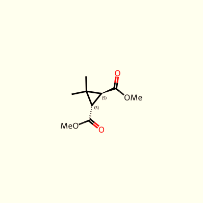 COC(=O)[C@H]1[C@H](C(=O)OC)C1(C)C